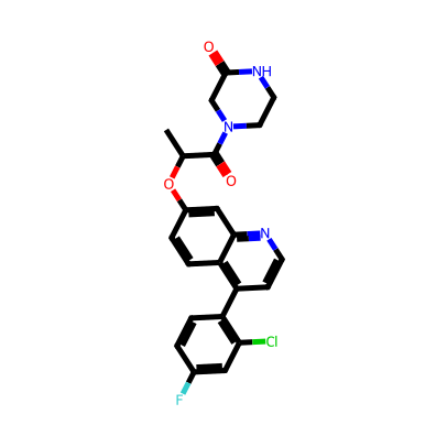 CC(Oc1ccc2c(-c3ccc(F)cc3Cl)ccnc2c1)C(=O)N1CCNC(=O)C1